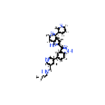 CCNCc1cncc(-c2ccc3[nH]nc(-c4cc5c(-c6cccnc6)nccc5[nH]4)c3c2)c1